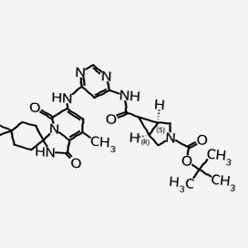 Cc1cc(Nc2cc(NC(=O)C3[C@H]4CN(C(=O)OC(C)(C)C)C[C@@H]34)ncn2)c(=O)n2c1C(=O)NC21CCC2(CC2)CC1